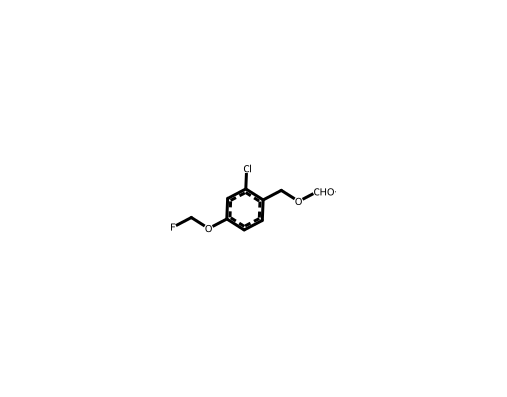 O=[C]OCc1ccc(OCF)cc1Cl